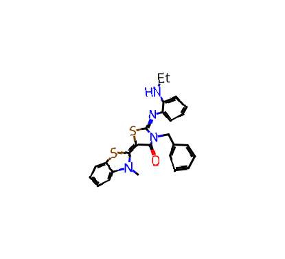 CCNc1ccccc1/N=C1/S/C(=C2\Sc3ccccc3N2C)C(=O)N1Cc1ccccc1